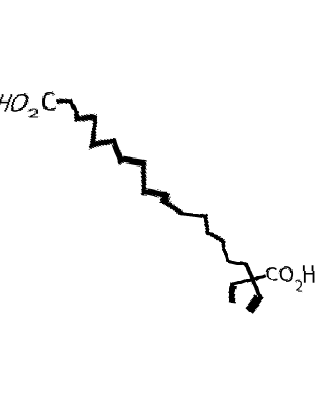 C=CC(C=C)(CCCCCCCCCCCCCCCC(=O)O)C(=O)O